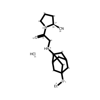 CCOC12CC3CC(C1)C(NCC(=O)N1CCC[C@H]1C#N)(C3)C2.Cl